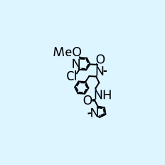 COc1cc(C(=O)N(C)C(CCNC(=O)c2cccn2C)Cc2ccccc2)cc(Cl)n1